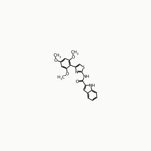 COc1cc(OC)c(-c2csc(NC(=O)c3cc4ccccc4[nH]3)n2)c(OC)c1